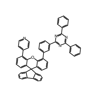 c1ccc(-c2nc(-c3ccccc3)nc(-c3cccc(-c4cccc5c4Oc4c(-c6ccncc6)cccc4C54c5ccccc5-c5ccccc54)c3)n2)cc1